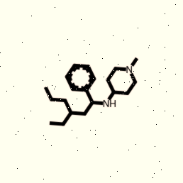 CCCC(CC)CC(NC1CCN(C)CC1)c1ccccc1